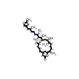 CC(/C=C/C=C(\C)[C@H](O)[C@@H](C)C1C[C@H](O)/C(C)=C/C=C/[C@@H](C)[C@H]2C[C@@H](C/C=C/C(=O)O1)CC(=O)O2)=C\c1coc(C)n1